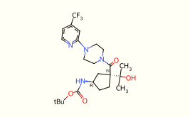 CC(C)(C)OC(=O)N[C@@H]1CC[C@@](C(=O)N2CCN(c3cc(C(F)(F)F)ccn3)CC2)(C(C)(C)O)C1